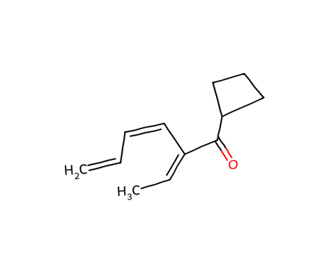 C=C/C=C\C(=C/C)C(=O)C1CCC1